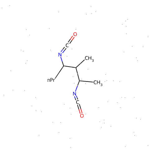 CCCC(N=C=O)C(C)C(C)N=C=O